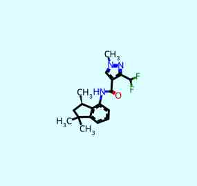 C[C@@H]1CC(C)(C)c2cccc(NC(=O)c3cn(C)nc3C(F)F)c21